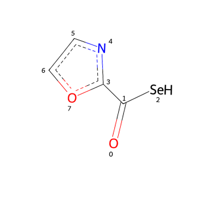 O=C([SeH])c1ncco1